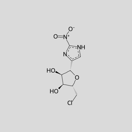 O=[N+]([O-])c1nc([C@@H]2O[C@H](CCl)[C@@H](O)[C@H]2O)c[nH]1